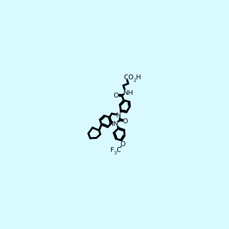 O=C(O)CCNC(=O)c1cccc(N(Cc2ccc(C3CCCCC3)cc2)C(=O)Nc2ccc(OC(F)(F)F)cc2)c1